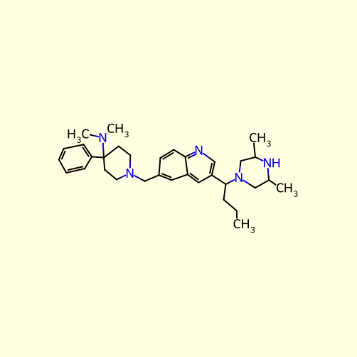 CCCC(c1cnc2ccc(CN3CCC(c4ccccc4)(N(C)C)CC3)cc2c1)N1CC(C)NC(C)C1